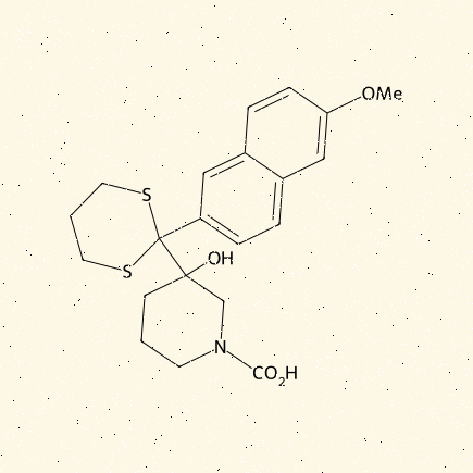 COc1ccc2cc(C3(C4(O)CCCN(C(=O)O)C4)SCCCS3)ccc2c1